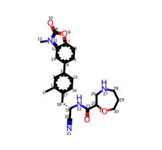 Cc1cc(-c2ccc3oc(=O)n(C)c3c2)ccc1C[C@@H](C#N)NC(=O)C1CNCCCO1